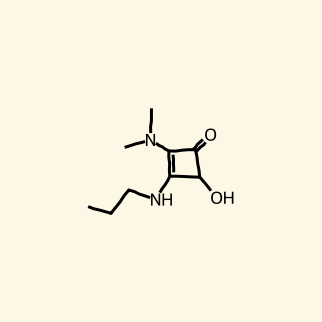 CCCNC1=C(N(C)C)C(=O)C1O